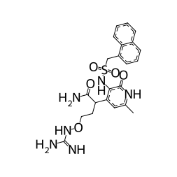 Cc1cc(C(CCONC(=N)N)C(N)=O)c(NS(=O)(=O)Cc2cccc3ccccc23)c(=O)[nH]1